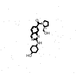 O=C(c1ccc2cnc(NC3CCC(O)CC3)nc2c1)N1CCC[C@H]1CO